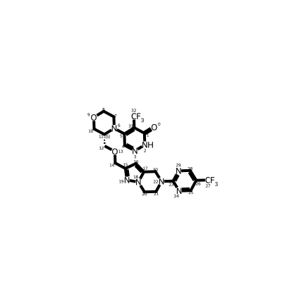 O=c1[nH]ncc(N2CCOC[C@H]2COCc2cc3n(n2)CCN(c2ncc(C(F)(F)F)cn2)C3)c1C(F)(F)F